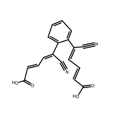 N#CC(=CC=CC(=O)O)c1ccccc1C(C#N)=CC=CC(=O)O